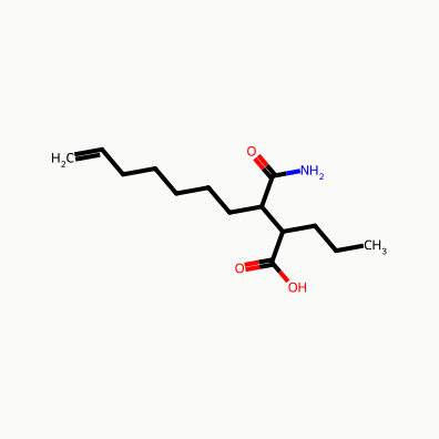 C=CCCCCCC(C(N)=O)C(CCC)C(=O)O